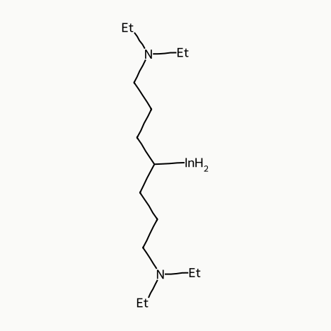 CCN(CC)CCC[CH]([InH2])CCCN(CC)CC